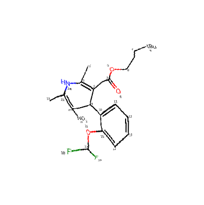 CC1=C(C(=O)OCCC(C)(C)C)C(c2ccccc2OC(F)F)C([N+](=O)[O-])=C(C)N1